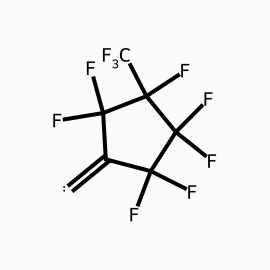 [C]=C1C(F)(F)C(F)(F)C(F)(C(F)(F)F)C1(F)F